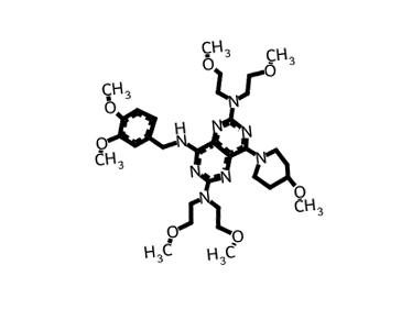 COCCN(CCOC)c1nc(N2CCC(OC)CC2)c2nc(N(CCOC)CCOC)nc(NCc3ccc(OC)c(OC)c3)c2n1